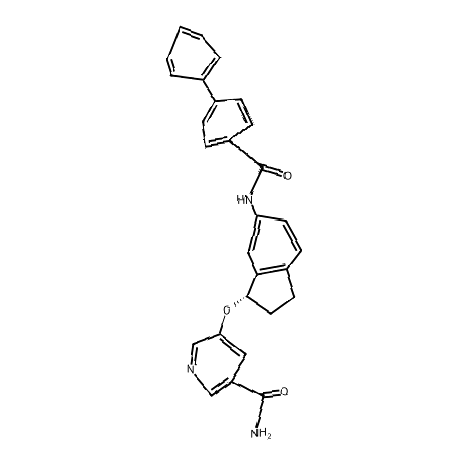 NC(=O)c1cncc(O[C@H]2CCc3ccc(NC(=O)c4ccc(-c5ccccc5)cc4)cc32)c1